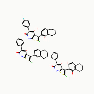 O=c1[nH]c2sc(Cl)c(-c3ccc4c(c3)CCCC4)c2c(O)c1-c1ccccc1.O=c1[nH]c2sc(Cl)c(-c3ccc4c(c3O)CCCC4)c2c(O)c1-c1ccc(F)cc1.O=c1[nH]c2sc(Cl)c(-c3ccc4c(c3O)CCCC4)c2c(O)c1-c1ccccc1